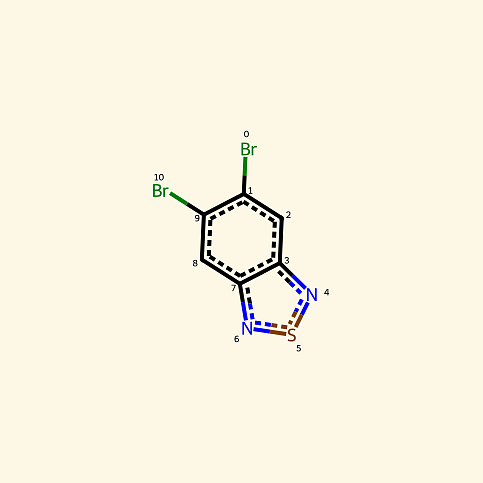 Brc1cc2nsnc2cc1Br